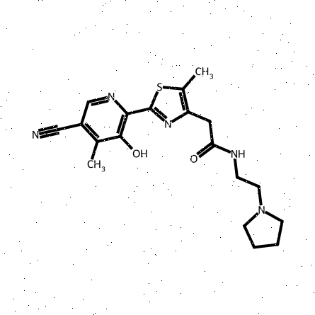 Cc1sc(-c2ncc(C#N)c(C)c2O)nc1CC(=O)NCCN1CCCC1